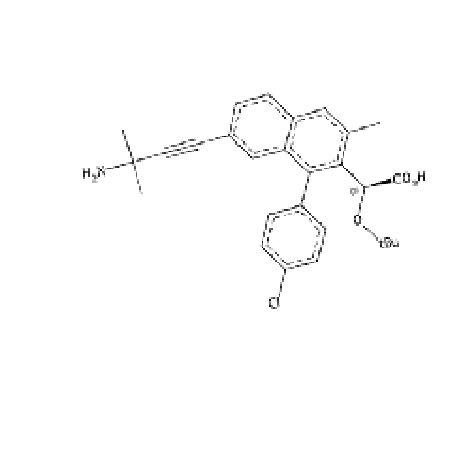 Cc1cc2ccc(C#CC(C)(C)N)cc2c(-c2ccc(Cl)cc2)c1[C@H](OC(C)(C)C)C(=O)O